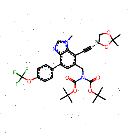 Cn1cnc2c(-c3ccc(OC(F)(F)F)cc3)cc(CN(C(=O)OC(C)(C)C)C(=O)OC(C)(C)C)c(C#C[C@@H]3COC(C)(C)O3)c21